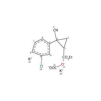 CCOC(=O)C1CC1(C#N)c1cccc(Cl)c1.O=C([O-])[O-].[K+].[K+]